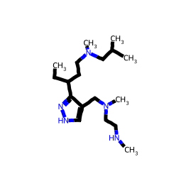 CCC(CCN(C)CC(C)C)c1n[nH]cc1CN(C)CCNC